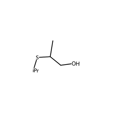 CC(C)SC(C)CO